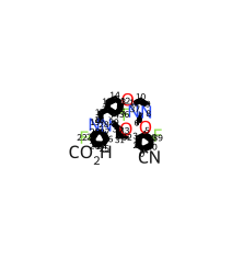 N#Cc1ccc(OCc2nccc(Oc3ccc(Cc4nc5c(F)cc(C(=O)O)cc5n4CC4CCO4)cc3F)n2)c(F)c1